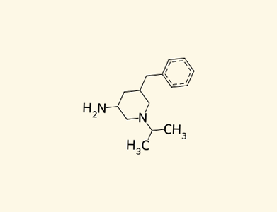 CC(C)N1CC(N)CC(Cc2ccccc2)C1